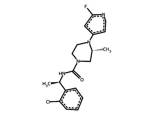 C[C@@H]1CN(C(=O)N[C@H](C)c2ccccc2Cl)CCN1c1ccnc(F)c1